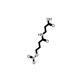 O=C(O)CCNC(=O)CCCO[N+](=O)[O-]